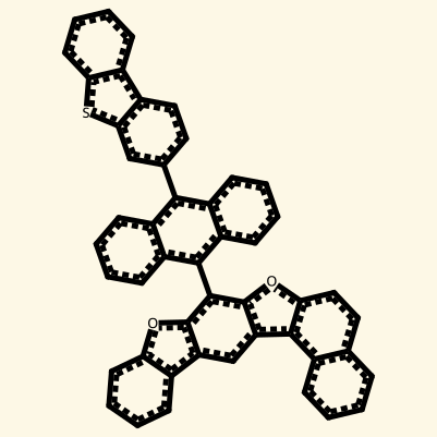 c1ccc2c(c1)ccc1oc3c(-c4c5ccccc5c(-c5ccc6c(c5)sc5ccccc56)c5ccccc45)c4oc5ccccc5c4cc3c12